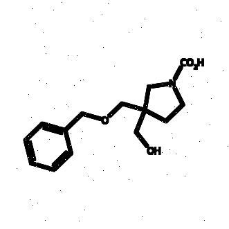 O=C(O)N1CCC(CO)(COCc2ccccc2)C1